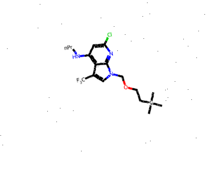 CCCNc1cc(Cl)nc2c1c(C(F)(F)F)cn2COCC[Si](C)(C)C